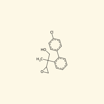 CC(CO)(c1ccccc1-c1ccc(Cl)cc1)C1CO1